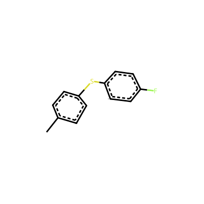 Cc1ccc(Sc2[c]cc(F)cc2)cc1